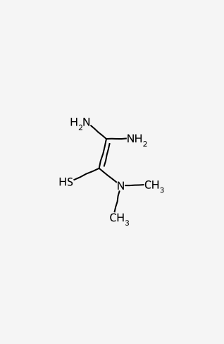 CN(C)C(S)=C(N)N